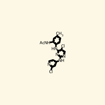 CC(=O)Nc1cc(C)ccc1Nc1nc(Nc2ccnc(Cl)c2)ncc1Cl